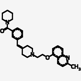 Cc1ccc2c(OCCN3CCC(=Cc4cccc(C(=O)N5CCCCC5)c4)CC3)cccc2n1